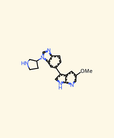 COc1cnc2[nH]cc(-c3ccc4ncn(C5CCNC5)c4c3)c2c1